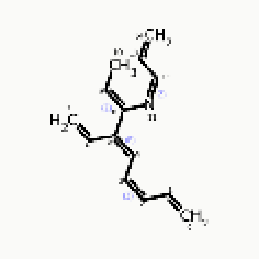 C=C\C=C/C=C(C=C)/C(=C/C)/N=C\C=C